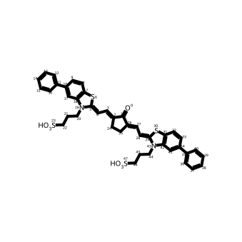 O=C1/C(=C/C=C2\Sc3ccc(-c4ccccc4)cc3N2CCCS(=O)(=O)O)CC/C1=C\C=C1/Sc2ccc(-c3ccccc3)cc2N1CCCS(=O)(=O)O